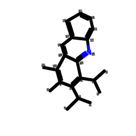 Cc1c(C(C)C)c(C(C)C)c2nc3ccccc3cc2c1C